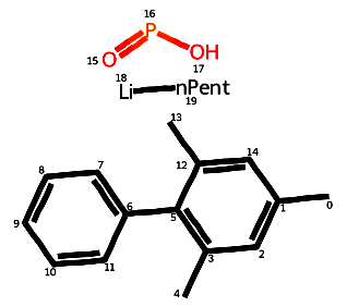 Cc1cc(C)c(-c2ccccc2)c(C)c1.O=PO.[Li][CH2]CCCC